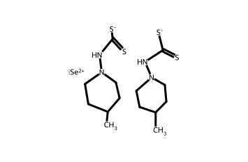 CC1CCN(NC(=S)[S-])CC1.CC1CCN(NC(=S)[S-])CC1.[Se+2]